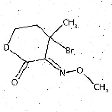 CO/N=C1/C(=O)OCCC1(C)Br